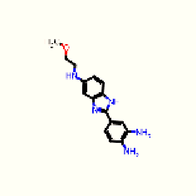 COCCNc1ccc2[nH]c(-c3ccc(N)c(N)c3)nc2c1